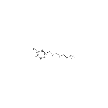 CCC/[C]=N/OCc1cccc(Cl)c1